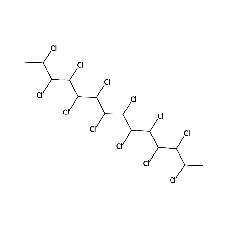 CC(Cl)C(Cl)C(Cl)C(Cl)C(Cl)C(Cl)C(Cl)C(Cl)C(Cl)C(Cl)C(Cl)C(C)Cl